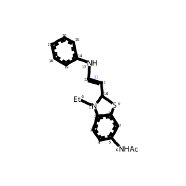 CCN1c2ccc(NC(C)=O)cc2SC1/C=C/Nc1ccccc1